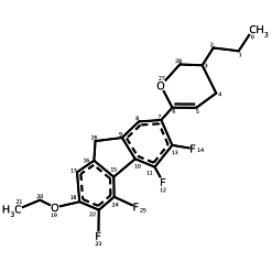 CCCC1CC=C(c2cc3c(c(F)c2F)-c2c(cc(OCC)c(F)c2F)C3)OC1